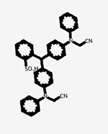 N#CCN(c1ccccc1)c1ccc(C(c2ccc(N(CC#N)c3ccccc3)cc2)c2ccccc2S(=O)(=O)O)cc1